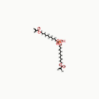 C=C(C)C(=O)OCCCCCCCCCCOP(=O)(O)OCCCCCCCCCCOC(=O)C(=C)C